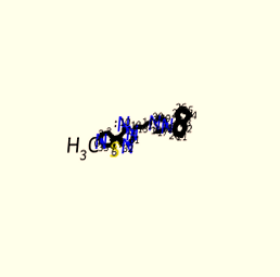 CN1CCc2c(sc3c2C([N])N(CCCN2CCN(c4cccc5ccccc45)CC2)C=N3)C1